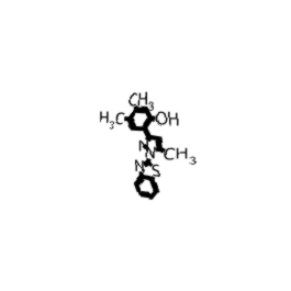 Cc1cc(O)c(-c2cc(C)n(-c3nc4ccccc4s3)n2)cc1C